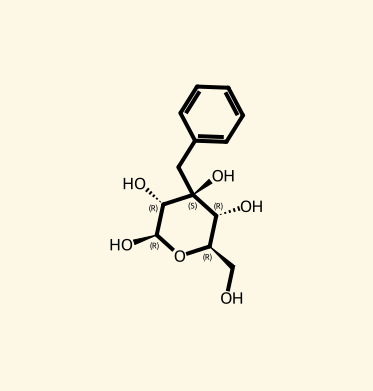 OC[C@H]1O[C@@H](O)[C@H](O)[C@](O)(Cc2ccccc2)[C@@H]1O